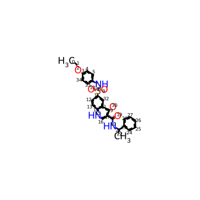 CCOc1ccc(NS(=O)(=O)c2ccc3[nH]cc(C(=O)NC(C)c4ccccc4)c(=O)c3c2)cc1